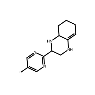 Fc1cnc(C2CNC3=CCCCC3N2)nc1